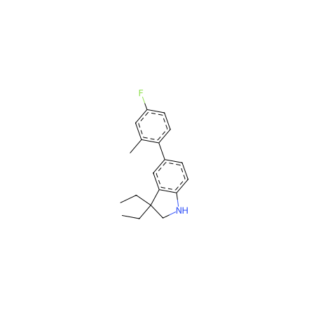 CCC1(CC)CNc2ccc(-c3ccc(F)cc3C)cc21